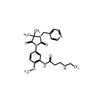 CC1(C)C(=O)N(c2ccc(OC(F)(F)F)c(NC(=O)CCNCC(F)(F)F)c2)C(=O)N1Cc1ccncc1